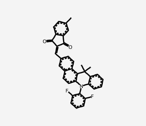 Cc1ccc2c(c1)C(=O)/C(=C\c1ccc3c4c(ccc3c1)N(c1c(F)cccc1F)c1ccccc1C4(C)C)C2=O